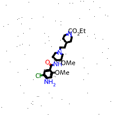 CCOC(=O)N1CCC(CCN2CC[C@@H](NC(=O)c3cc(Cl)c(N)cc3OC)[C@@H](OC)C2)CC1